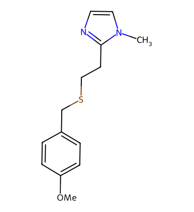 COc1ccc(CSCCc2nccn2C)cc1